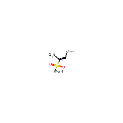 CCCCC/C=C(\[N+](=O)[O-])S(=O)(=O)CCCCC